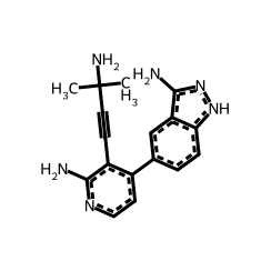 CC(C)(N)C#Cc1c(-c2ccc3[nH]nc(N)c3c2)ccnc1N